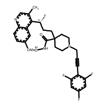 COc1ccc2ncc(C)c([C@H](F)CCC3(C(=O)NO)CCN(CC#Cc4c(F)cc(F)cc4F)CC3)c2c1